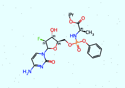 CC(C)OC(=O)[C@@H](C)NP(=O)(OC[C@H]1OC(n2ccc(N)nc2=O)[C@@H](F)[C@@H]1O)Oc1ccccc1